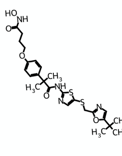 CC(C)(C)c1cnc(CSc2cnc(NC(=O)C(C)(C)c3ccc(OCCCC(=O)NO)cc3)s2)o1